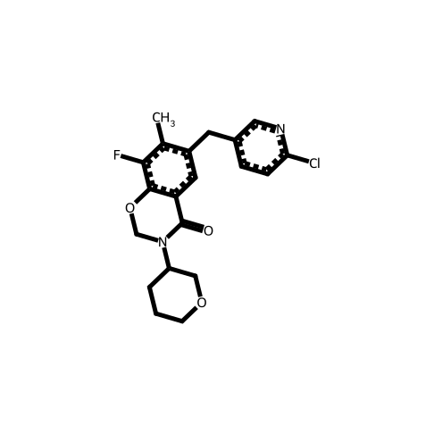 Cc1c(Cc2ccc(Cl)nc2)cc2c(c1F)OCN(C1CCCOC1)C2=O